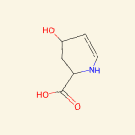 O=C(O)C1CC(O)C=CN1